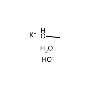 CO.O.[K+].[OH-]